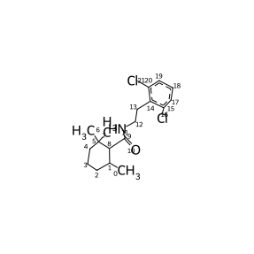 CC1CCCC(C)(C)C1C(=O)NCCc1c(Cl)cccc1Cl